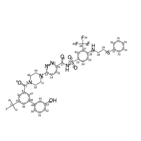 CC(C)(C)c1cc(C(=O)N2CCN(c3ccc(C(=O)NS(=O)(=O)c4ccc(NCCSc5ccccc5)c(C(F)(F)F)c4)nn3)CC2)cc(-c2cccc(O)c2)c1